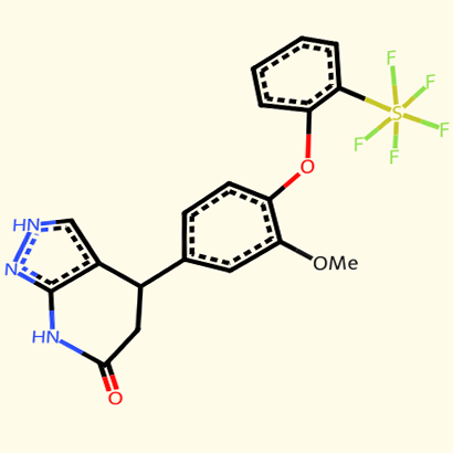 COc1cc(C2CC(=O)Nc3n[nH]cc32)ccc1Oc1ccccc1S(F)(F)(F)(F)F